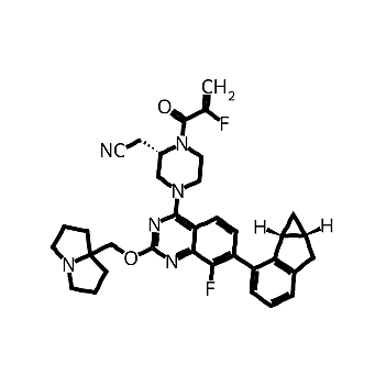 C=C(F)C(=O)N1CCN(c2nc(OCC34CCCN3CCC4)nc3c(F)c(-c4cccc5c4[C@@H]4C[C@@H]4C5)ccc23)C[C@@H]1CC#N